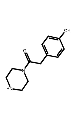 O=C(Cc1ccc(O)cc1)N1CCNCC1